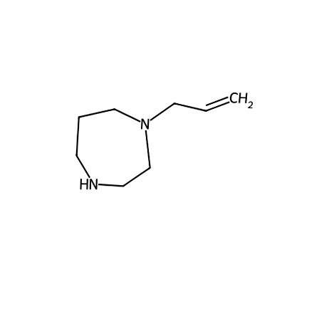 C=CCN1CCCNCC1